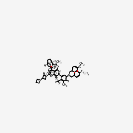 COc1ccc(CN(Cc2ccc(OC)cc2)c2cc(-c3nc4c5c(nc(N6CC(N7CCC7)C6)nc5c3F)N3C[C@H]5CC[C@@H]([C@H]3[C@H](C)O4)N5C(=O)OC(C)(C)C)c(C(F)(F)F)c(C)c2F)cc1